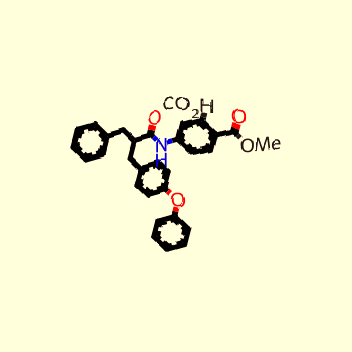 COC(=O)c1ccc(NC(=O)C(Cc2ccccc2)Cc2ccc(Oc3ccccc3)cc2)cc1C(=O)O